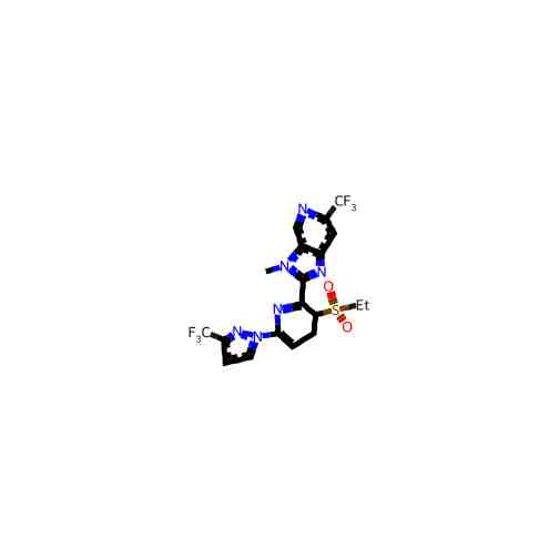 CCS(=O)(=O)C1CC=C(n2ccc(C(F)(F)F)n2)N=C1c1nc2cc(C(F)(F)F)ncc2n1C